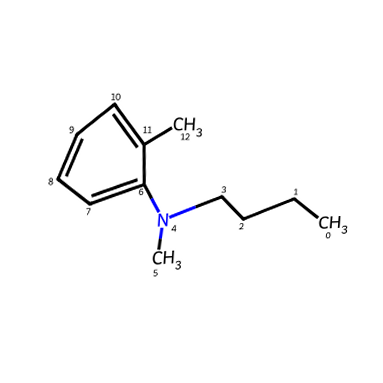 CCCCN(C)c1ccccc1C